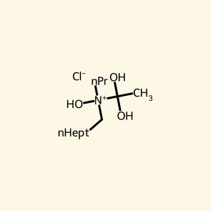 CCCCCCCC[N+](O)(CCC)C(C)(O)O.[Cl-]